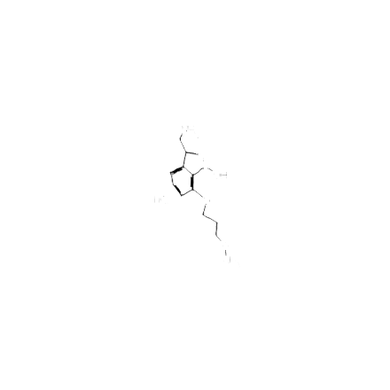 COCCCOc1cccc2c1B(O)OC2CN.Cl